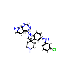 Clc1cccc(Nc2ccc3c(c2)C2(CCNCC2)CN3c2ncnc3[nH]ccc23)c1